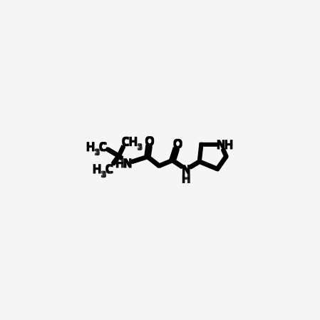 CC(C)(C)NC(=O)CC(=O)NC1CCNC1